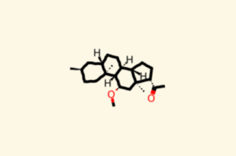 CO[C@H]1C[C@]2(C)[C@@H](C(C)=O)CC[C@H]2[C@@H]2CC[C@H]3C[C@H](C)CC[C@]3(C)[C@H]21